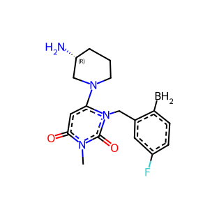 Bc1ccc(F)cc1Cn1c(N2CCC[C@@H](N)C2)cc(=O)n(C)c1=O